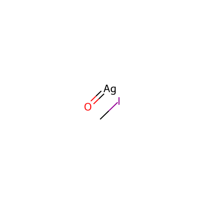 CI.[O]=[Ag]